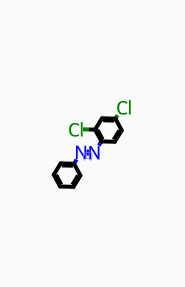 Clc1ccc(/N=N/c2ccccc2)c(Cl)c1